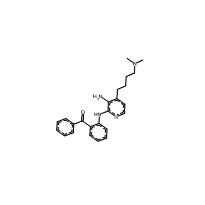 CN(C)CCCCc1ccnc(Nc2ccccc2C(=O)c2ccccc2)c1N